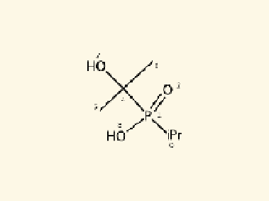 CC(C)P(=O)(O)C(C)(C)O